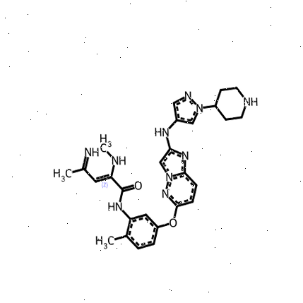 CN/C(=C\C(C)=N)C(=O)Nc1cc(Oc2ccc3nc(Nc4cnn(C5CCNCC5)c4)cn3n2)ccc1C